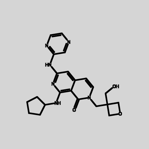 O=c1c2c(NC3CCCC3)nc(Nc3cnccn3)cc2ccn1CC1(CO)COC1